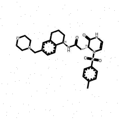 Cc1ccc(S(=O)(=O)N2C=CNC(=O)[C@H]2CC(=O)N[C@@H]2CCCc3cc(CN4CCOCC4)ccc32)cc1